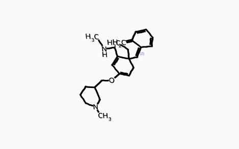 C=c1cccc/c1=C/C1(CC)CC=C(OCC2CCCN(C)C2)C=C1CNC